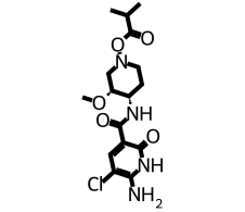 CO[C@@H]1CN(OC(=O)C(C)C)CC[C@@H]1NC(=O)c1cc(Cl)c(N)[nH]c1=O